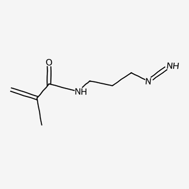 C=C(C)C(=O)NCCCN=N